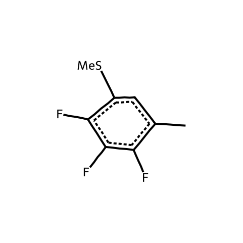 CSc1cc(C)c(F)c(F)c1F